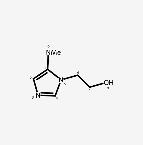 CNc1cncn1CCO